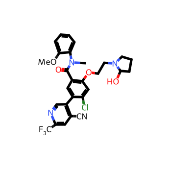 COc1ccccc1N(C)C(=O)c1cc(-c2cnc(C(F)(F)F)cc2C#N)c(Cl)cc1OCCN1CCCC1O